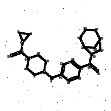 O=C(C1CC1)N1CCC(Oc2ccc(C(=O)N3CC4CCCC3C4)cc2)CC1